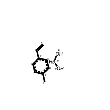 C=Cc1ccc(C)cc1.OBO